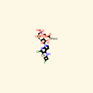 CCCCCC(=O)OCOP(=O)(O)CS(=O)(=O)C[C@H]1O[C@H](n2ccc3c(NC4CC(F)C4)c(C#N)c(Cl)nc32)[C@H](O)[C@@H]1O